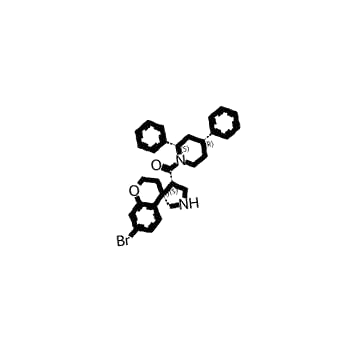 O=C([C@@H]1CNC[C@]12CCOc1cc(Br)ccc12)N1CC[C@@H](c2ccccc2)C[C@H]1c1ccccc1